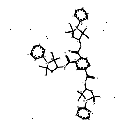 CC1(C)CC(OC(=O)c2ccc(C(=O)OC3CC(C)(C)N(c4ccccc4)C3(C)C)c(C(=O)OC3CC(C)(C)N(c4ccccc4)C3(C)C)c2)C(C)(C)N1c1ccccc1